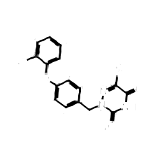 O=c1[nH]c(=O)n(Cc2ccc(Oc3ccccc3F)cc2)nc1Br